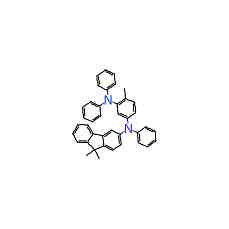 Cc1ccc(N(c2ccccc2)c2ccc3c(c2)-c2ccccc2C3(C)C)cc1N(c1ccccc1)c1ccccc1